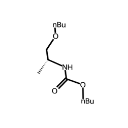 CCCCOC[C@@H](C)NC(=O)OCCCC